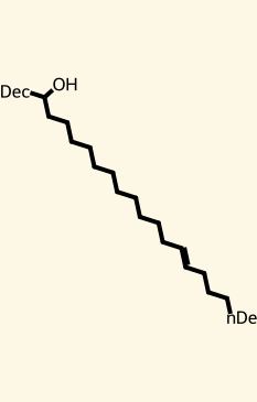 CCCCCCCCCCCCC/C=C/CCCCCCCCCCCC(O)CCCCCCCCCC